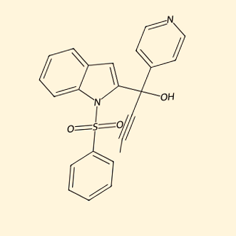 CC#CC(O)(c1ccncc1)c1cc2ccccc2n1S(=O)(=O)c1ccccc1